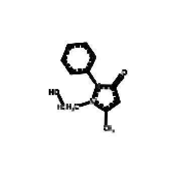 Cc1cc(=O)n(-c2ccccc2)n1C.OO